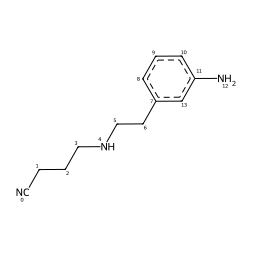 N#CCCCNCCc1cccc(N)c1